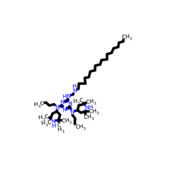 CCCCCCCCCCCCCCCCCCNCNc1nc(N(CCCC)C2CC(C)(C)NC(C)(C)C2)nc(N(CCCC)C2CC(C)(C)NC(C)(C)C2)n1